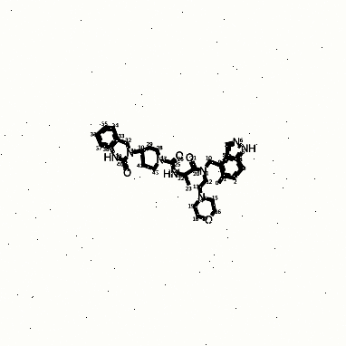 Cc1ccc2[nH]ncc2c1CN(CCN1CCOCC1)C(=O)C(C)NC(=O)N1CCC(N2Cc3ccccc3NC2=O)CC1